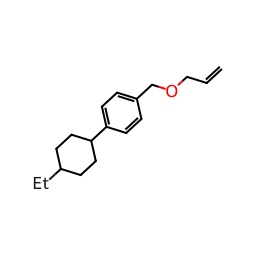 C=CCOCc1ccc(C2CCC(CC)CC2)cc1